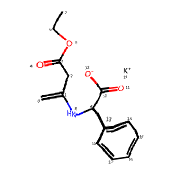 C=C(CC(=O)OCC)NC(C(=O)[O-])c1ccccc1.[K+]